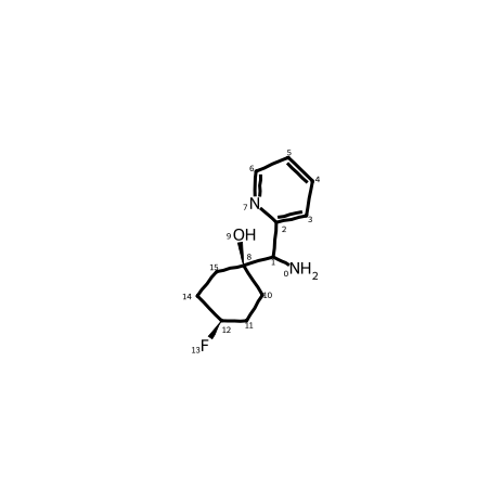 NC(c1ccccn1)[C@]1(O)CC[C@@H](F)CC1